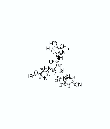 CC(C)Oc1cncc(Nc2cc(-c3ccc4cc(C#N)cnn34)ncc2C(=O)NC[C@@H](F)C(C)(C)O)c1